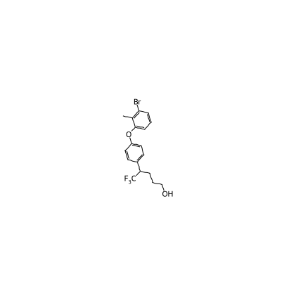 Cc1c(Br)cccc1Oc1ccc(C(CCCO)C(F)(F)F)cc1